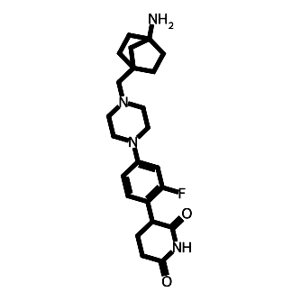 NC12CCC(CN3CCN(c4ccc(C5CCC(=O)NC5=O)c(F)c4)CC3)(CC1)C2